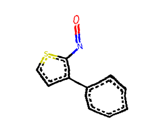 O=Nc1sccc1-c1ccccc1